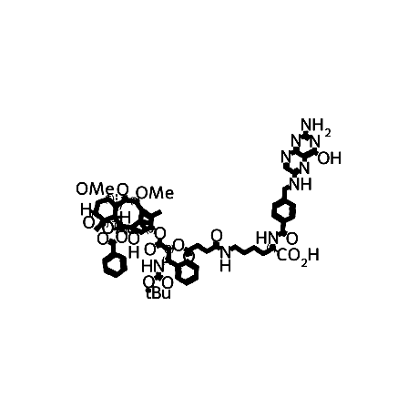 CO[C@H]1C(=O)[C@]2(C)[C@@H](OC)C[C@H]3OC[C@@]3(OC(C)=O)[C@H]2[C@@](C)(OC(=O)c2ccccc2)[C@]2(O)C[C@H](OC(=O)[C@H](OC(=O)CCC(=O)NCCCC[C@H](NC(=O)c3ccc(CNc4cnc5nc(N)nc(O)c5n4)cc3)C(=O)O)[C@@H](NC(=O)OC(C)(C)C)c3ccccc3)C(C)=C1C2(C)C